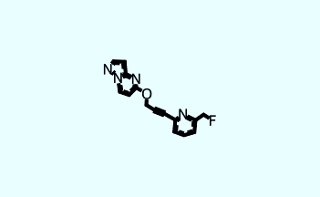 FCc1cccc(C#CCOc2ccn3nccc3n2)n1